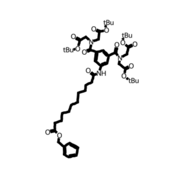 CC(C)(C)OC(=O)CN(CC(=O)OC(C)(C)C)C(=O)c1cc(NC(=O)CCCCCCCCCCC(=O)OCc2ccccc2)cc(C(=O)N(CC(=O)OC(C)(C)C)CC(=O)OC(C)(C)C)c1